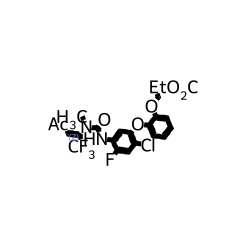 CCOC(=O)COc1ccccc1Oc1cc(NC(=O)N(C)/C(=C\C(C)=O)C(F)(F)F)c(F)cc1Cl